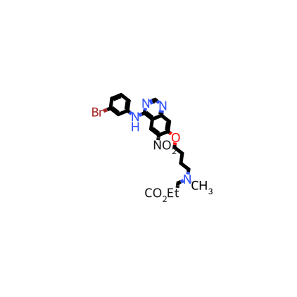 CCOC(=O)CN(C)CCCCOc1cc2ncnc(Nc3cccc(Br)c3)c2cc1[N+](=O)[O-]